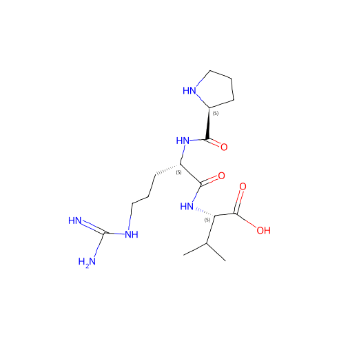 CC(C)[C@H](NC(=O)[C@H](CCCNC(=N)N)NC(=O)[C@@H]1CCCN1)C(=O)O